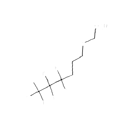 O=C(O)CSCCCC(F)(F)C(F)(F)C(F)(F)C(F)(F)F